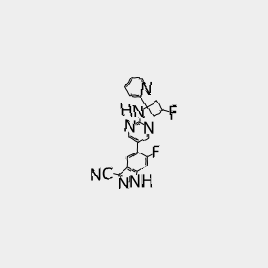 N#Cc1n[nH]c2cc(F)c(-c3cnc(NC4(c5ccccn5)CC(F)C4)nc3)cc12